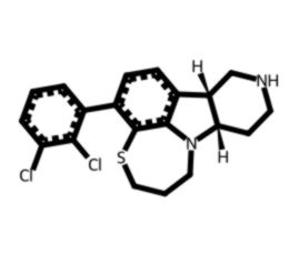 Clc1cccc(-c2ccc3c4c2SCCCN4[C@H]2CCNC[C@@H]32)c1Cl